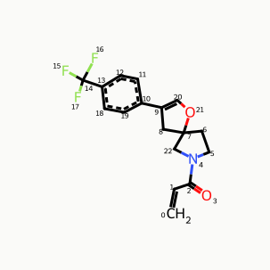 C=CC(=O)N1CCC2(CC(c3ccc(C(F)(F)F)cc3)=CO2)C1